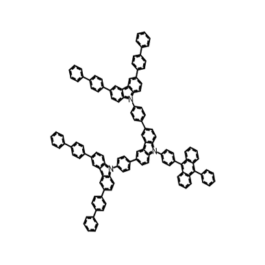 c1ccc(-c2ccc(-c3ccc4c(c3)c3cc(-c5ccc(-c6ccccc6)cc5)ccc3n4-c3ccc(-c4ccc5c(c4)c4cc(-c6ccc(-n7c8ccc(-c9ccc(-c%10ccccc%10)cc9)cc8c8cc(-c9ccc(-c%10ccccc%10)cc9)ccc87)cc6)ccc4n5-c4ccc(-c5c6ccccc6c(-c6ccccc6)c6ccccc56)cc4)cc3)cc2)cc1